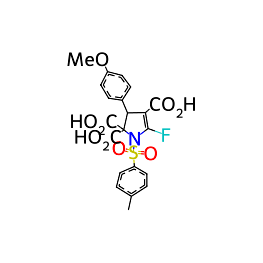 COc1ccc(C2C(C(=O)O)=C(F)N(S(=O)(=O)c3ccc(C)cc3)C2(C(=O)O)C(=O)O)cc1